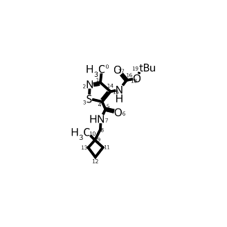 Cc1nsc(C(=O)NCC2(C)CCC2)c1NC(=O)OC(C)(C)C